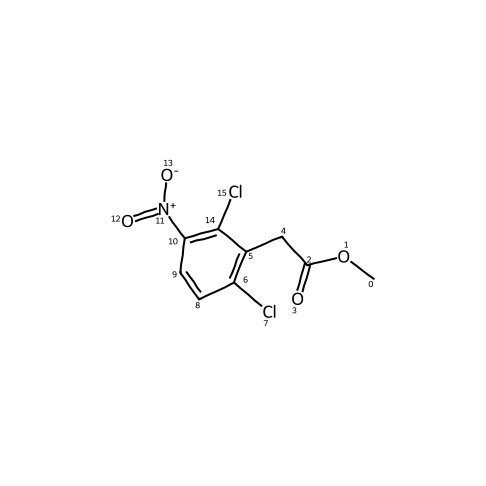 COC(=O)Cc1c(Cl)ccc([N+](=O)[O-])c1Cl